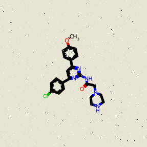 COc1ccc(-c2cc(-c3ccc(Cl)cc3)nc(NC(=O)CN3CCNCC3)n2)cc1